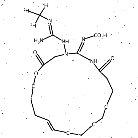 [2H]C([2H])([2H])/N=C(\N)NN1CC(=O)OCCC/C=C/CCCCCCCC(=O)N/C1=N\C(=O)O